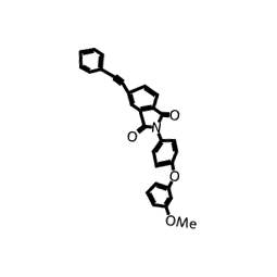 COc1cccc(Oc2ccc(N3C(=O)c4ccc(C#Cc5ccccc5)cc4C3=O)cc2)c1